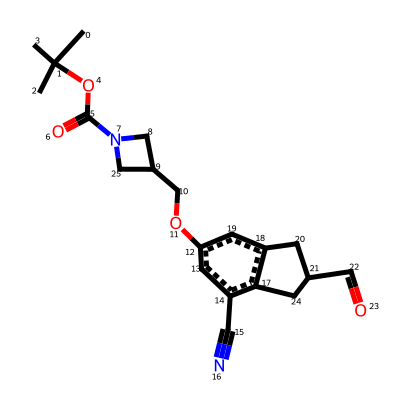 CC(C)(C)OC(=O)N1CC(COc2cc(C#N)c3c(c2)CC(C=O)C3)C1